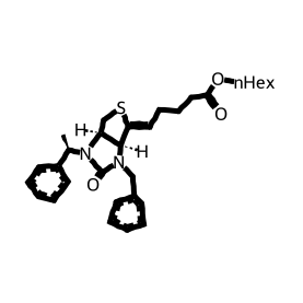 CCCCCCOC(=O)CCCC=C1SC[C@H]2[C@@H]1N(Cc1ccccc1)C(=O)N2[C@H](C)c1ccccc1